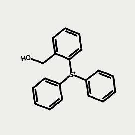 OCc1ccccc1[S+](c1ccccc1)c1ccccc1